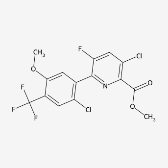 COC(=O)c1nc(-c2cc(OC)c(C(F)(F)F)cc2Cl)c(F)cc1Cl